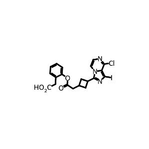 O=C(O)Cc1ccccc1OC(=O)CC1CC(c2nc(I)c3c(Cl)nccn23)C1